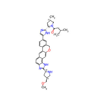 COC[C@@H]1CN[C@H](c2nc3ccc4cc5c(cc4c3[nH]2)OCc2cc(-c3cnc([C@@H]4C[C@H](C)CN4C(=O)[CH]C(C)C)[nH]3)ccc2-5)C1